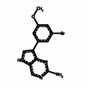 COc1cc(Br)cc(-c2c[nH]c3cnc(N)nc23)c1